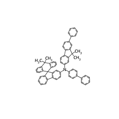 CC1(C)c2cc(-c3ccccc3)ccc2-c2ccc(N(c3ccc(-c4ccccc4)cc3)c3ccc4c(c3)C3(c5ccccc5-4)c4ccccc4C(C)(C)c4ccccc43)cc21